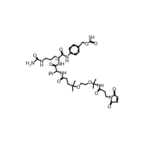 CC(C)C(NC(=O)CCC(C)(C)OCCOC(C)(C)NC(=O)CCN1C(=O)C=CC1=O)C(=O)N[C@@H](CCCNC(N)=O)C(=O)Nc1ccc(COC(=O)S)cc1